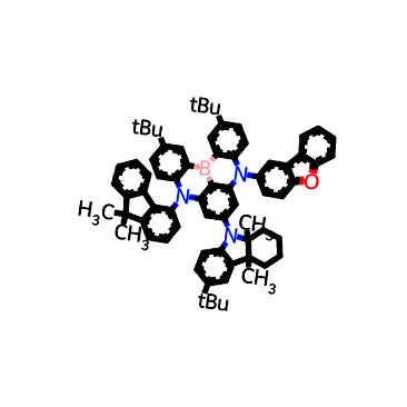 CC(C)(C)c1ccc2c(c1)B1c3cc(C(C)(C)C)ccc3N(c3cccc4c3-c3ccccc3C4(C)C)c3cc(N4c5ccc(C(C)(C)C)cc5C5(C)CCCCC45C)cc(c31)N2c1ccc2oc3ccccc3c2c1